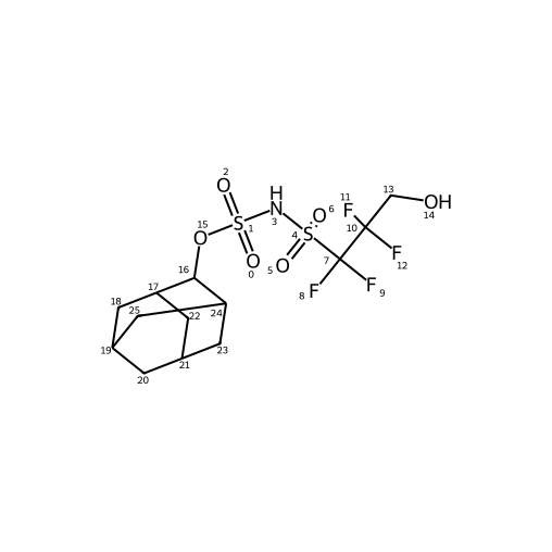 O=S(=O)(NS(=O)(=O)C(F)(F)C(F)(F)CO)OC1C2CC3CC(C2)CC1C3